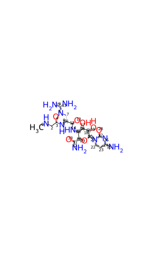 CNCC(=O)N[C@H](CN=C(N)N)C(=O)N[C@H]1[C@H](O)[C@@H](O)[C@H](n2ccc(N)nc2=O)O[C@@H]1C(N)=O